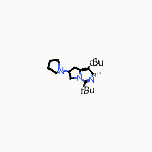 C[C@@H]1N=C(C(C)(C)C)N2CC(N3CCCC3)CC2=C1C(C)(C)C